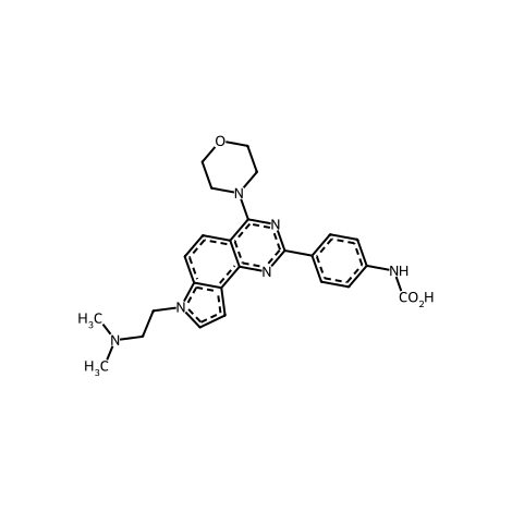 CN(C)CCn1ccc2c3nc(-c4ccc(NC(=O)O)cc4)nc(N4CCOCC4)c3ccc21